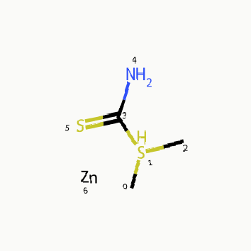 C[SH](C)C(N)=S.[Zn]